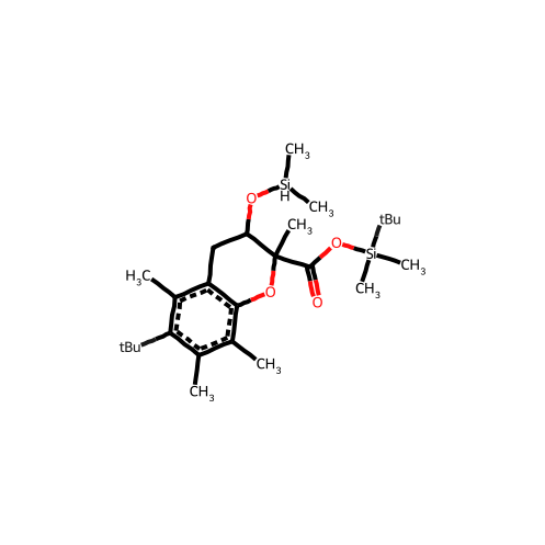 Cc1c(C)c(C(C)(C)C)c(C)c2c1OC(C)(C(=O)O[Si](C)(C)C(C)(C)C)C(O[SiH](C)C)C2